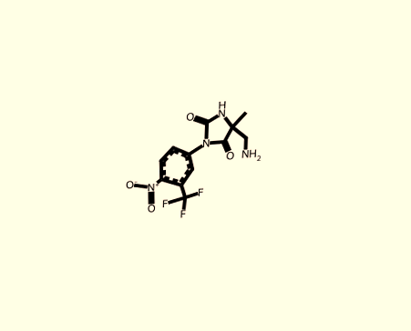 CC1(CN)NC(=O)N(c2ccc([N+](=O)[O-])c(C(F)(F)F)c2)C1=O